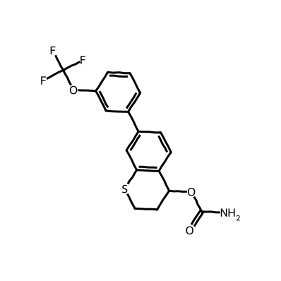 NC(=O)OC1CCSc2cc(-c3cccc(OC(F)(F)F)c3)ccc21